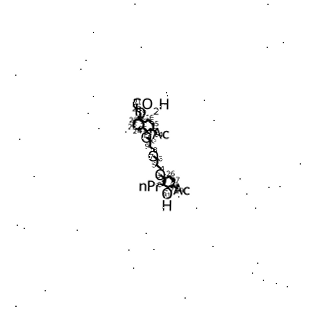 CCCc1c(OCCCOCCCOc2c(C(C)=O)ccc3c(OCC(=O)O)cccc23)ccc(C(C)=O)c1O